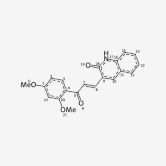 COc1ccc(C(=O)C=Cc2cc3ccccc3[nH]c2=O)c(OC)c1